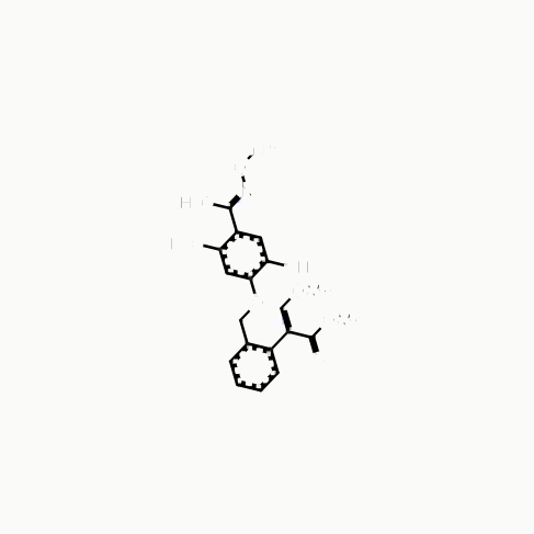 CCCO/N=C(\C)c1cc(C)c(OCc2ccccc2/C(=C/OC)C(=O)OC)cc1C